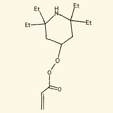 C=CC(=O)OOC1CC(CC)(CC)NC(CC)(CC)C1